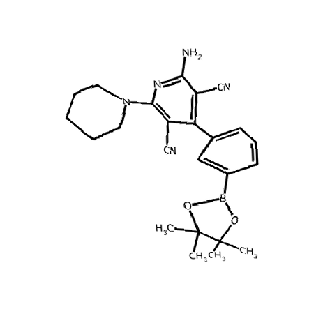 CC1(C)OB(c2cccc(-c3c(C#N)c(N)nc(N4CCCCC4)c3C#N)c2)OC1(C)C